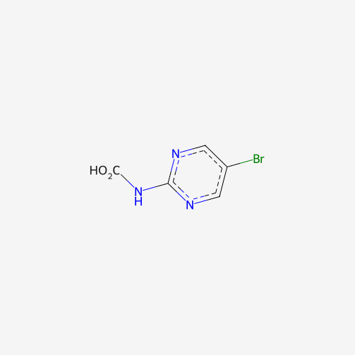 O=C(O)Nc1ncc(Br)cn1